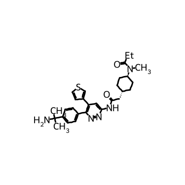 CCC(=O)N(C)[C@H]1CC[C@H](CC(=O)Nc2cc(-c3ccsc3)c(-c3ccc(C(C)(C)N)cc3)nn2)CC1